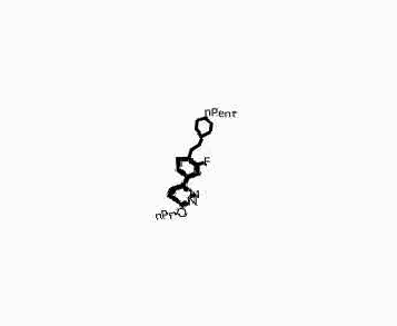 CCCCCC1CCC(CCc2ccc(-c3ccc(OCCC)nn3)cc2F)CC1